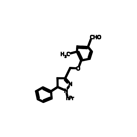 CCCN1N=C(COc2ccc(C=O)cc2C)CC1c1ccccc1